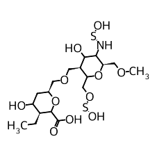 CC[C@H]1C(O)C[C@@H](COC[C@@H]2C(COSO)O[C@H](COC)C(NSO)C2O)OC1C(=O)O